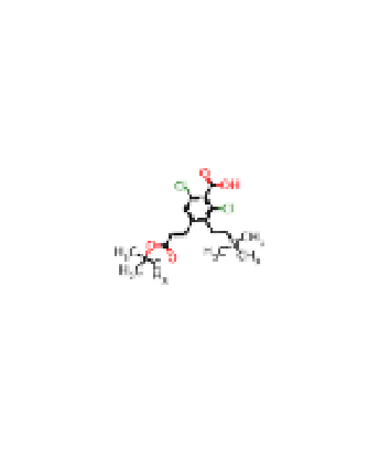 CC(C)(C)OC(=O)C=Cc1cc(Cl)c(C(=O)O)c(Cl)c1CC[Si](C)(C)C